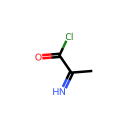 CC(=N)C(=O)Cl